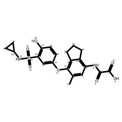 Cc1cc(NC(=O)C(=O)O)c2c(c1Oc1ccc(O)c(S(=O)(=O)NC3CC3)c1)CCC2